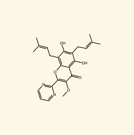 COc1c(-c2ncccn2)oc2c(CC=C(C)C)c(O)c(CC=C(C)C)c(O)c2c1=O